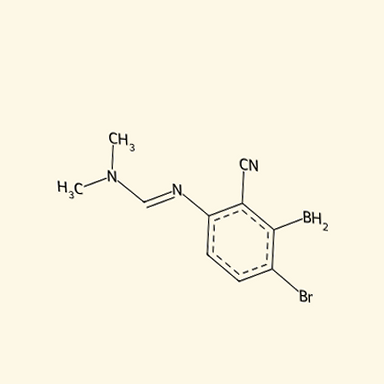 Bc1c(Br)ccc(/N=C/N(C)C)c1C#N